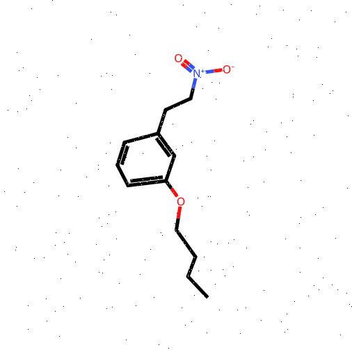 CCCCOc1cccc(CC[N+](=O)[O-])c1